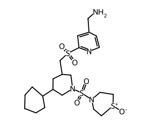 NCc1ccnc(S(=O)(=O)CC2CC(C3CCCCC3)CN(S(=O)(=O)N3CC[S+]([O-])CC3)C2)c1